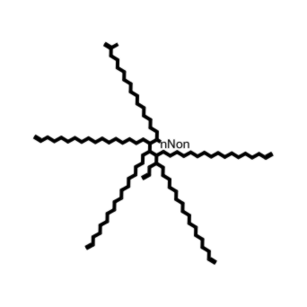 C=CCCCCCCCCCCCCCCCC(CC=C)C(CCCCCCCCCCCCCCCC=C)C(CCCCCCCCCCCCCCCC=C)C(CCCCCCCCCCCCCCCC=C)C(CCCCCCCCC)CCCCCCCCCCCCCCC(=C)C